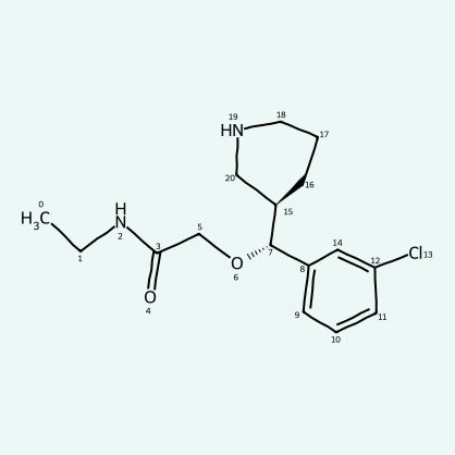 CCNC(=O)CO[C@@H](c1cccc(Cl)c1)[C@@H]1CCCNC1